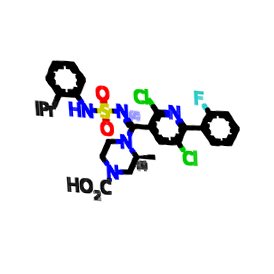 CC(C)c1ccccc1NS(=O)(=O)/N=C(/c1cc(Cl)c(-c2ccccc2F)nc1Cl)N1CCN(C(=O)O)C[C@@H]1C